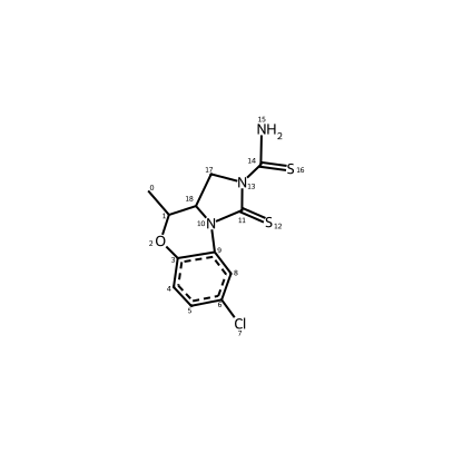 CC1Oc2ccc(Cl)cc2N2C(=S)N(C(N)=S)CC12